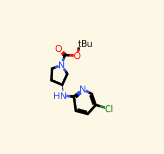 CC(C)(C)OC(=O)N1CC[C@@H](Nc2ccc(Cl)cn2)C1